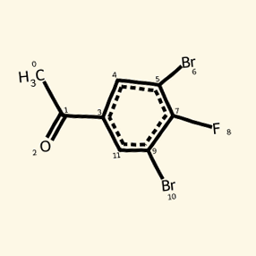 CC(=O)c1cc(Br)c(F)c(Br)c1